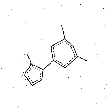 Cc1cc(C)cc(-c2ccnn2C)c1